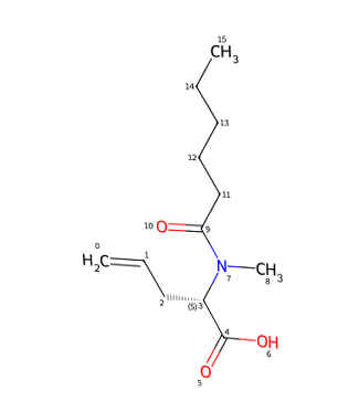 C=CC[C@@H](C(=O)O)N(C)C(=O)CCCCC